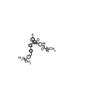 Cc1nc(C(=O)N[C@H]2CC[C@@H](NC(=O)c3cc(F)cnc3Nc3cccc(-c4ccc(CN5CCC(N(C)C)CC5)cc4)c3)CC2)cs1